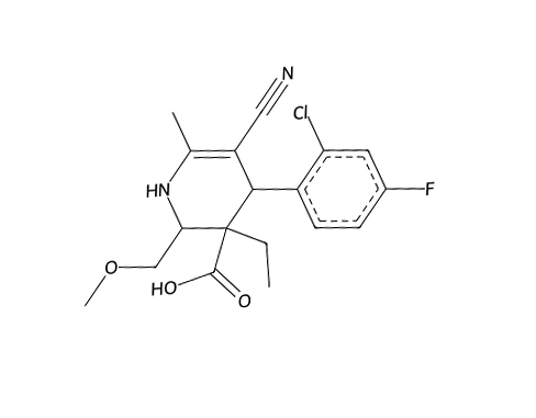 CCC1(C(=O)O)C(COC)NC(C)=C(C#N)C1c1ccc(F)cc1Cl